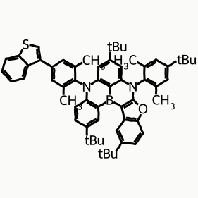 Cc1cc(-c2csc3ccccc23)cc(C)c1N1c2ccc(C(C)(C)C)cc2B2c3c1cc(C(C)(C)C)cc3N(c1c(C)cc(C(C)(C)C)cc1C)c1oc3ccc(C(C)(C)C)cc3c12